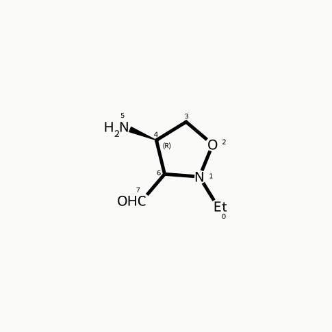 CCN1OC[C@H](N)C1C=O